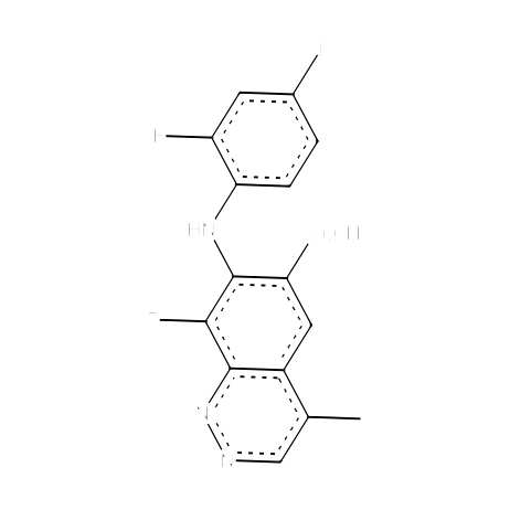 Cc1cnnc2c(F)c(Nc3ccc(I)cc3F)c(C(=O)O)cc12